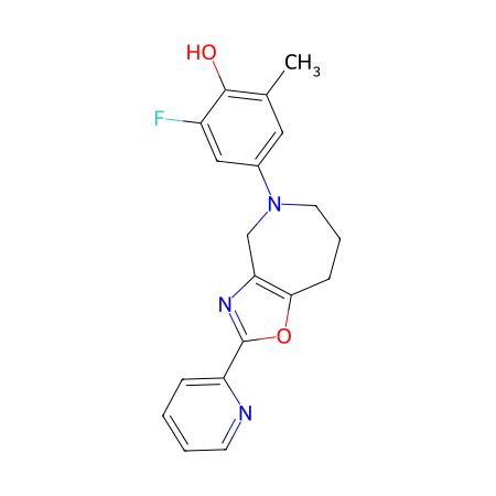 Cc1cc(N2CCCc3oc(-c4ccccn4)nc3C2)cc(F)c1O